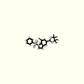 Cc1cc(C2OC(C)(C)C(C)(C)O2)cc2ccn(S(=O)(=O)c3ccccc3)c12